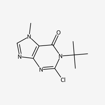 Cn1cnc2nc(Cl)n(C(C)(C)C)c(=O)c21